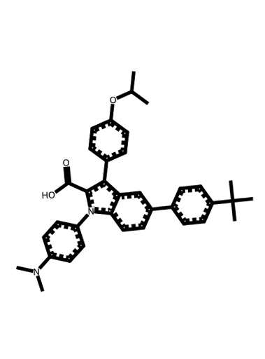 CC(C)Oc1ccc(-c2c(C(=O)O)n(-c3ccc(N(C)C)cc3)c3ccc(-c4ccc(C(C)(C)C)cc4)cc23)cc1